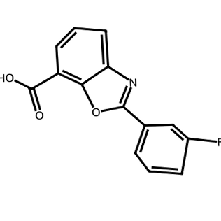 O=C(O)c1cccc2nc(-c3cccc(F)c3)oc12